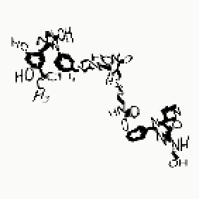 CC(C)c1cc(-c2nnc(O)n2-c2ccc(CN3CCN(C(=O)NC(CSSCCNC(=O)Oc4cccc(-c5nc(NCCO)c6oc7ncccc7c6n5)c4)C(N)=O)CC3)cc2)c(O)cc1O